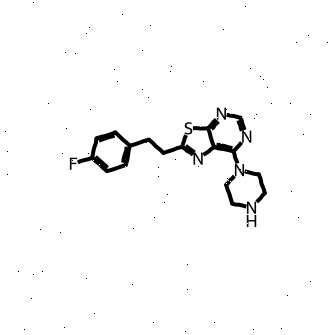 Fc1ccc(CCc2nc3c(N4CCNCC4)ncnc3s2)cc1